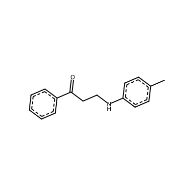 Cc1ccc(NCCC(=O)c2ccccc2)cc1